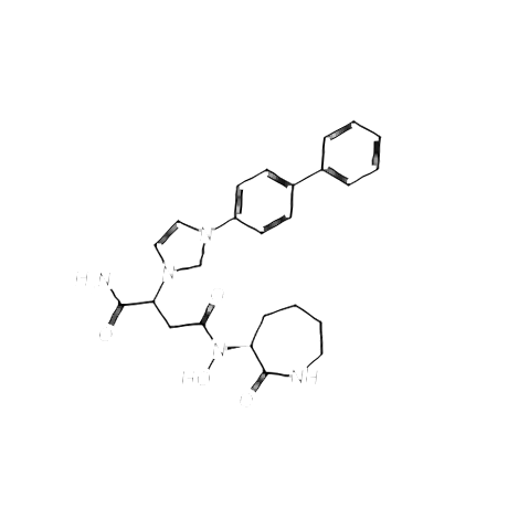 NC(=O)C(CC(=O)N(O)[C@H]1CCCCNC1=O)N1C=CN(c2ccc(-c3ccccc3)cc2)C1